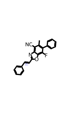 Cc1c(-c2ccccc2)c(F)c2oc(/C=C/c3ccccc3)nc2c1C#N